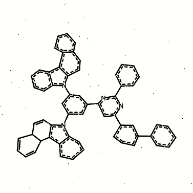 C1=CC2C=Cc3c(c4ccccc4n3-c3cc(-c4cc(-c5cccc(-c6ccccc6)c5)nc(-c5ccccc5)n4)cc(-n4c5ccccc5c5c6ccccc6ccc54)c3)C2C=C1